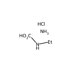 CCNC(=O)O.Cl.N